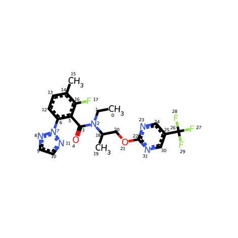 CCN(C(=O)c1c(-n2nccn2)ccc(C)c1F)C(C)COc1ncc(C(F)(F)F)cn1